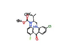 C[C@H](C=O)[C@@H](CNc1cc(Cl)ccc1C(=O)c1ccccc1F)NC(=O)OC(C)(C)C